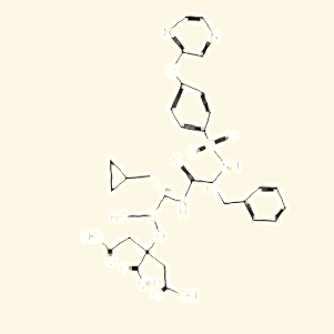 O=C(O)CC(CC(=O)O)(OB(O)[C@H](CC1CC1)NC(=O)[C@H](Cc1ccccc1)NS(=O)(=O)c1ccc(Oc2cnccn2)cc1)C(=O)O